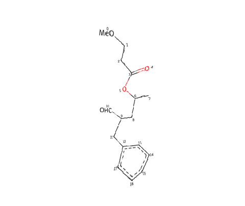 COCCC(=O)OC(C)CC(C=O)Cc1ccccc1